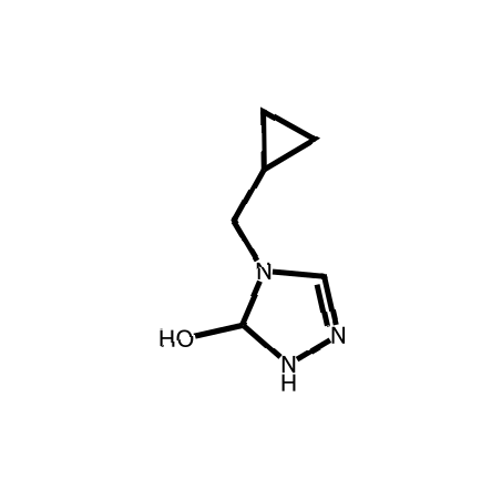 OC1NN=CN1CC1CC1